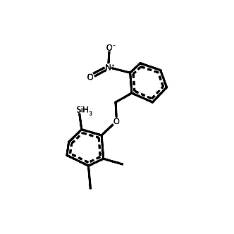 Cc1ccc([SiH3])c(OCc2ccccc2[N+](=O)[O-])c1C